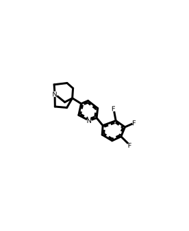 Fc1ccc(-c2ccc(C34CCCN(CC3)C4)cn2)c(F)c1F